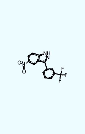 O=[N+]([O-])c1ccc2[nH]nc(-c3cccc(C(F)(F)F)c3)c2c1